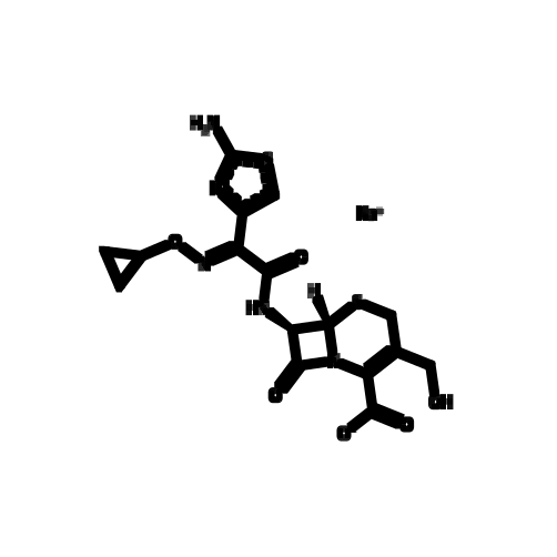 Nc1nc(C(=NOC2CC2)C(=O)N[C@@H]2C(=O)N3C(C(=O)[O-])=C(CO)CS[C@@H]23)cs1.[Na+]